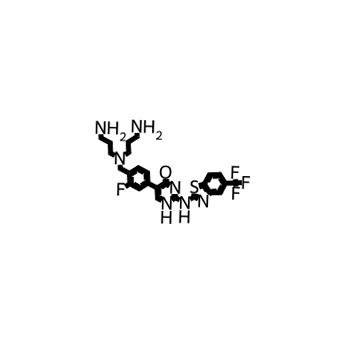 NCCCN(CCCN)Cc1ccc(-c2c[nH]c(Nc3nc4cc(C(F)(F)F)ccc4s3)nc2=O)cc1F